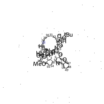 COc1ccc(-c2cc(O[C@@H]3C[C@H]4C(=O)N[C@]5(C(=O)NS(=O)(=O)C6CC6)C[C@H]5/C=C\CCCCC[C@H](NC(=O)OC(C)(C)C)C(=O)N4C3)c3oc4ccccc4c3n2)cc1